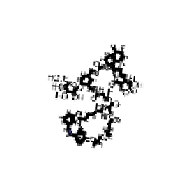 CCC1(O)C(=O)OCc2c1cc1n(c2=O)Cc2c-1nc1cc(F)c(C)c3c1c2C(NC(=O)OCc1ccc(OC2OC(C(=O)O)C(O)C(O)C2O)c(CNC(=O)CCNC(=O)C(CNC(=O)CCC(C)(C)OCC(C)(C)OC)NC(=O)CCCCC(=O)N2Cc4ccccc4/C=C\c4ccccc42)c1)CC3